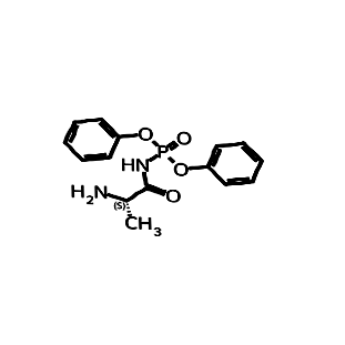 C[C@H](N)C(=O)NP(=O)(Oc1ccccc1)Oc1ccccc1